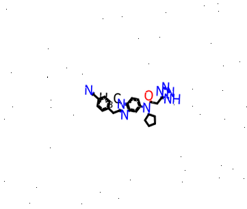 Cn1c(Cc2ccc(C#N)cc2)nc2cc(N(C(=O)Cc3nnn[nH]3)C3CCCC3)ccc21